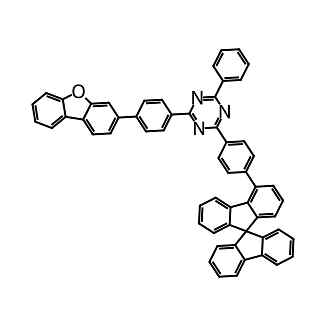 c1ccc(-c2nc(-c3ccc(-c4ccc5c(c4)oc4ccccc45)cc3)nc(-c3ccc(-c4cccc5c4-c4ccccc4C54c5ccccc5-c5ccccc54)cc3)n2)cc1